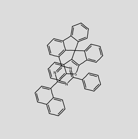 c1ccc(-c2nc(-c3cccc4c3C3(c5ccccc5-4)c4ccccc4-c4sc5ccccc5c43)nc(-c3cccc4ccccc34)n2)cc1